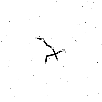 FCC(F)(OCOF)C(F)(F)F